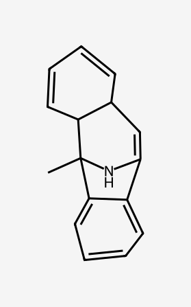 CC12NC(=CC3C=CC=CC31)c1ccccc12